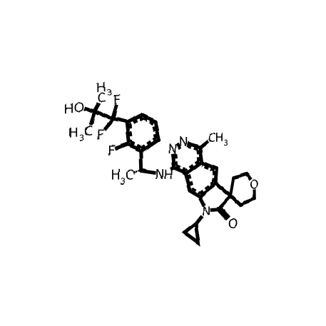 Cc1nnc(N[C@H](C)c2cccc(C(F)(F)C(C)(C)O)c2F)c2cc3c(cc12)C1(CCOCC1)C(=O)N3C1CC1